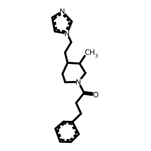 CC1CN(C(=O)CCc2ccccc2)CCC1CCn1ccnc1